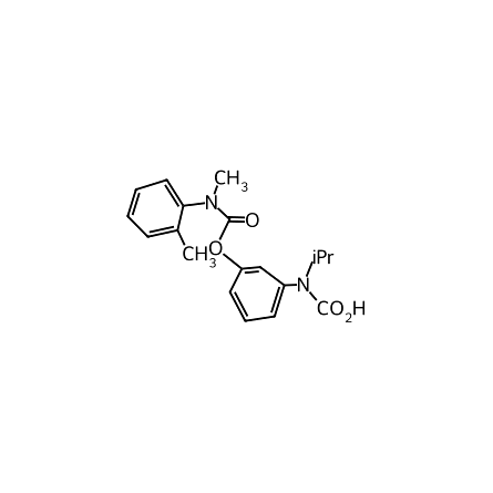 Cc1ccccc1N(C)C(=O)Oc1cccc(N(C(=O)O)C(C)C)c1